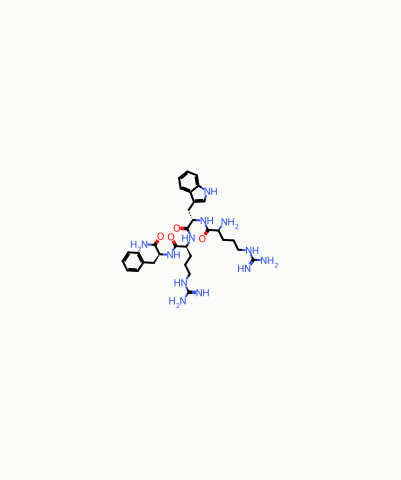 N=C(N)NCCC[C@H](NC(=O)[C@H](Cc1c[nH]c2ccccc12)NC(=O)[C@@H](N)CCCNC(=N)N)C(=O)N[C@@H](Cc1ccccc1)C(N)=O